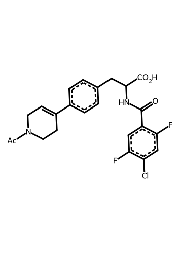 CC(=O)N1CC=C(c2ccc(CC(NC(=O)c3cc(F)c(Cl)cc3F)C(=O)O)cc2)CC1